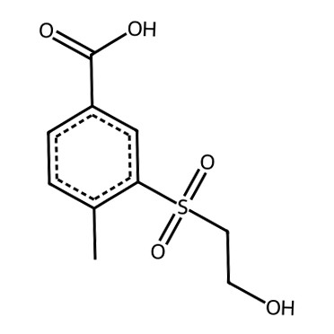 Cc1ccc(C(=O)O)cc1S(=O)(=O)CCO